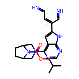 CC(C)COC(=O)N1C2CCC1CN(c1ncnc3[nH]c(/C(C=N)=C/C=N)cc13)C2